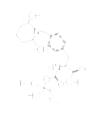 CC1CCC[C@@H](C)N1Cc1ccc(CC(NC(=O)OC(C)(C)C)C(=O)O)cc1